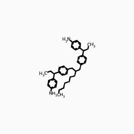 CCCCCCCC(Cc1ccc(C(CC)c2ccc(N)cc2)cc1)Cc1ccc(C(CC)c2ccc(N)cc2)cc1